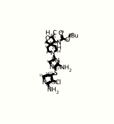 C[C@@H]1OCC2(CCN(c3cnc(Sc4ccnc(N)c4Cl)c(N)n3)CC2)[C@@H]1NC(=O)OC(C)(C)C